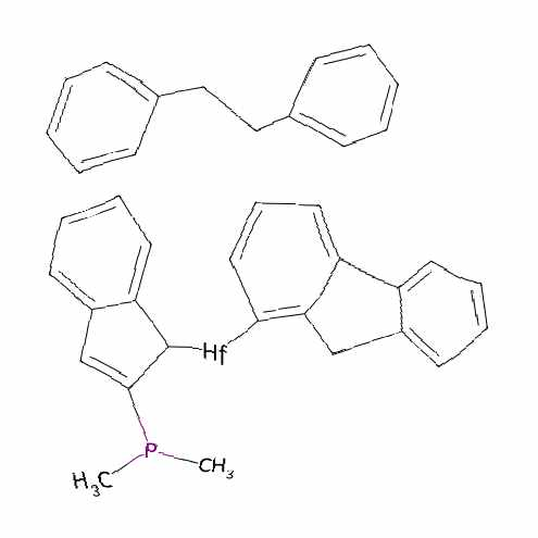 CP(C)C1=Cc2ccccc2[CH]1[Hf][c]1cccc2c1Cc1ccccc1-2.c1ccc(CCc2ccccc2)cc1